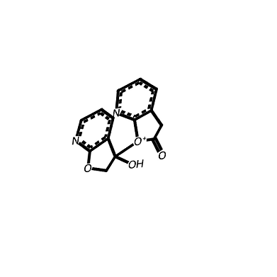 O=C1Cc2cccnc2[O+]1C1(O)COc2ncccc21